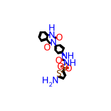 Nc1ccc(S(=O)(=O)NC(=O)Nc2ccc(-n3c(=O)[nH]c4ccccc4c3=O)cc2)s1